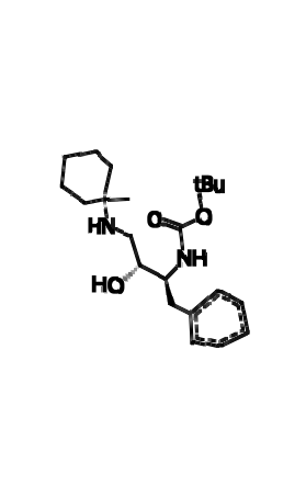 CC1(NC[C@@H](O)[C@H](Cc2ccccc2)NC(=O)OC(C)(C)C)CCCCC1